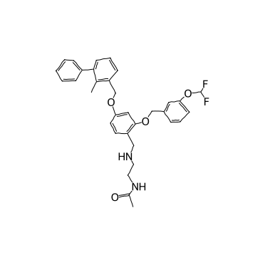 CC(=O)NCCNCc1ccc(OCc2cccc(-c3ccccc3)c2C)cc1OCc1cccc(OC(F)F)c1